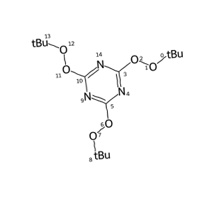 CC(C)(C)OOc1nc(OOC(C)(C)C)nc(OOC(C)(C)C)n1